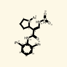 CC(=O)N1CCCC1C(=CN[SH](=O)=O)C(=O)Nc1c(C(C)C)cccc1C(C)C